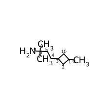 CC1CC(CCC(C)(C)N)C1